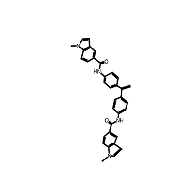 C=C(c1ccc(NC(=O)c2ccc3c(ccn3C)c2)cc1)c1ccc(NC(=O)c2ccc3c(ccn3C)c2)cc1